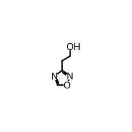 OCCc1ncon1